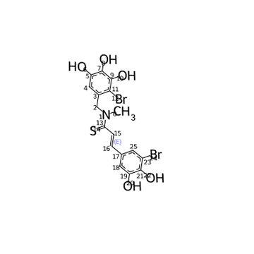 CN(Cc1cc(O)c(O)c(O)c1Br)C(=S)/C=C/c1cc(O)c(O)c(Br)c1